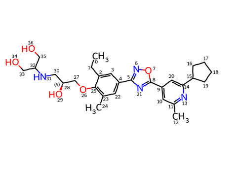 CCc1cc(-c2noc(-c3cc(C)nc(C4CCCC4)c3)n2)cc(C)c1OC[C@@H](O)CNC(CO)CO